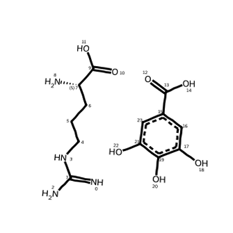 N=C(N)NCCC[C@H](N)C(=O)O.O=C(O)c1cc(O)c(O)c(O)c1